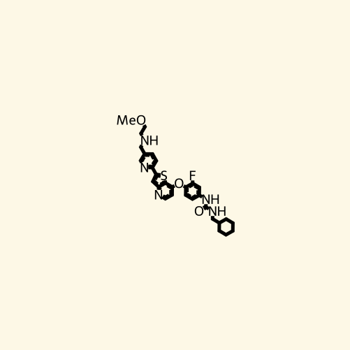 COCCNCc1ccc(-c2cc3nccc(Oc4ccc(NC(=O)NCC5CCCCC5)cc4F)c3s2)nc1